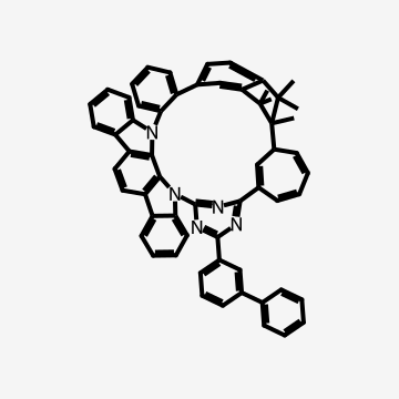 CC1(C)c2ccc3cc2C(C)(C)C1(C)C1C=CC=CC(=C1)c1nc(-c2cccc(-c4ccccc4)c2)nc(n1)-n1c2ccccc2c2ccc4c5ccccc5n(c4c21)-c1ccccc1-3